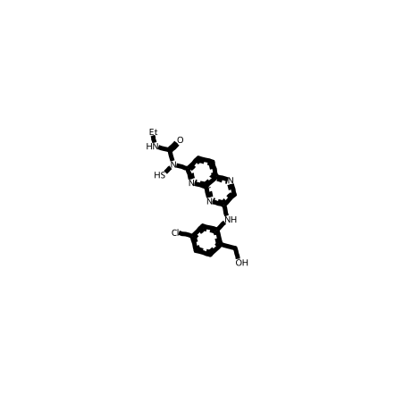 CCNC(=O)N(S)c1ccc2ncc(Nc3cc(Cl)ccc3CO)nc2n1